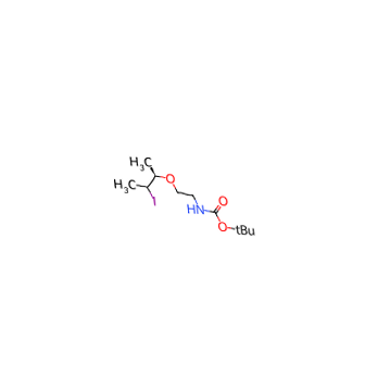 CC(I)[C@@H](C)OCCNC(=O)OC(C)(C)C